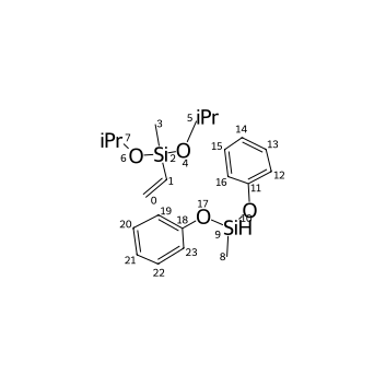 C=C[Si](C)(OC(C)C)OC(C)C.C[SiH](Oc1ccccc1)Oc1ccccc1